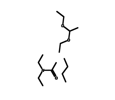 CCCC.CCN(CC)C(C)=O.CCOC(C)OCC